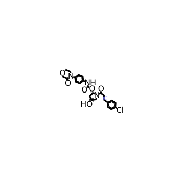 O=C(Nc1ccc(N2CCOCC2=O)cc1)O[C@@H]1C[C@@H](O)CN1C(=O)/C=C/c1ccc(Cl)cc1